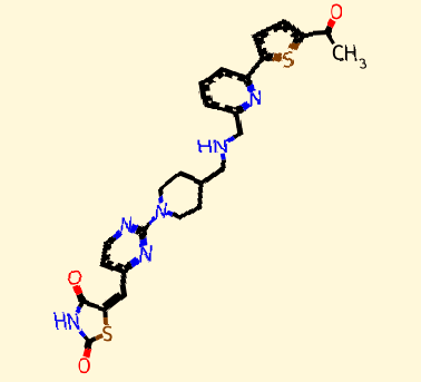 CC(=O)c1ccc(-c2cccc(CNCC3CCN(c4nccc(C=C5SC(=O)NC5=O)n4)CC3)n2)s1